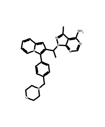 Cc1nn(C(C)c2cc3ccccn3c2-c2ccc(CN3CCOCC3)cc2)c2ncnc(N)c12